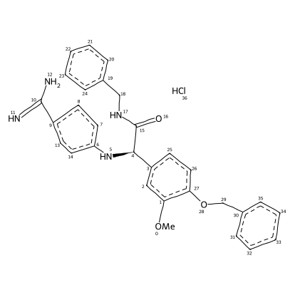 COc1cc([C@@H](Nc2ccc(C(=N)N)cc2)C(=O)NCc2ccccc2)ccc1OCc1ccccc1.Cl